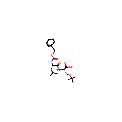 CC(C)C[C@H](NC(=O)OCc1ccccc1)C(=O)N[C@@H](COC(C)(C)C)C(=O)O